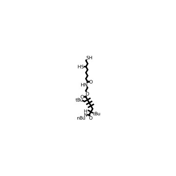 CCCCNC(=O)C(C)(CC(C)(C)C(C)(C)C(C)(CC(C)(C)C)C(=O)OCCNC(=O)CCCCC(S)CCS)C(C)(C)C